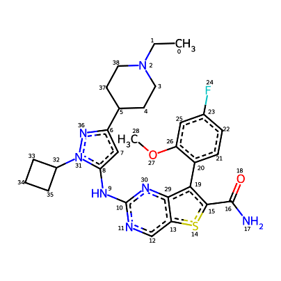 CCN1CCC(c2cc(Nc3ncc4sc(C(N)=O)c(-c5ccc(F)cc5OC)c4n3)n(C3CCC3)n2)CC1